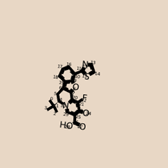 CC(C)(C)[C@@H]1Cc2c(oc3c(-c4nccs4)cccc23)-c2c(F)c(=O)c(C(=O)O)cn21